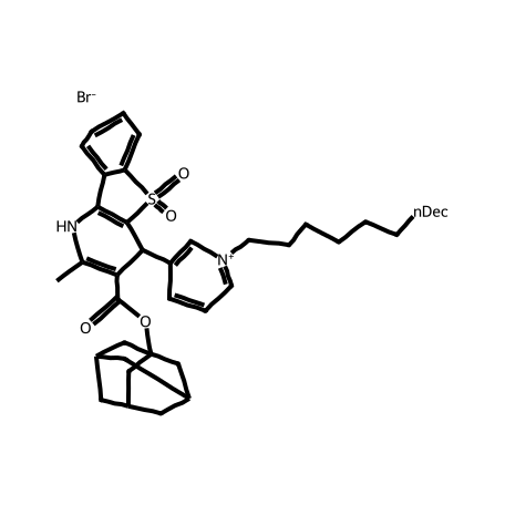 CCCCCCCCCCCCCCCC[n+]1cccc(C2C(C(=O)OC34CC5CC(CC(C5)C3)C4)=C(C)NC3=C2S(=O)(=O)c2ccccc23)c1.[Br-]